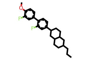 CCCC1CCC2CC(c3ccc(-c4ccc(OC)c(F)c4)c(F)c3)CCC2C1